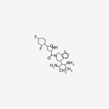 CC(N)C(C(C)N)C1CN(C(=O)C2CC(C3CCC(F)CC3F)ON2)Cc2sccc21